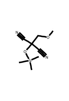 COCC(C#N)(C#N)O[Si](C)(C)C